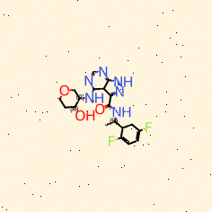 C[C@@H](NC(=O)C1=NNC2=NC=NC(N[C@@H]3COCC[C@H]3O)C21)C1CC(F)=CC=C1F